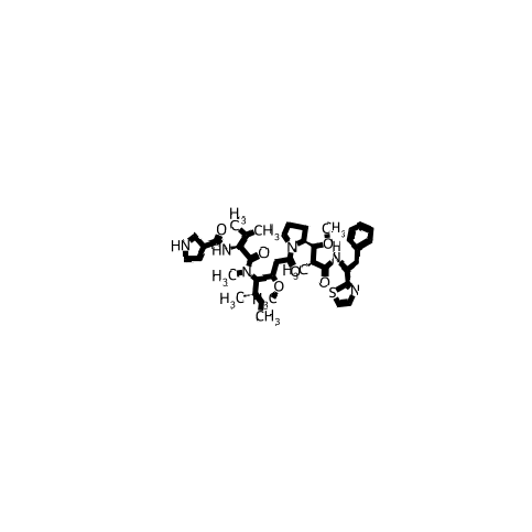 CC[C@H](C)C(C(CC(=O)N1CCC[C@H]1C(OC)[C@@H](C)C(=O)NC(Cc1ccccc1)c1nccs1)OC)N(C)C(=O)[C@@H](NC(=O)C1CCNC1)C(C)C